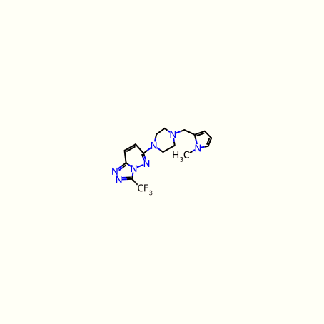 Cn1cccc1CN1CCN(c2ccc3nnc(C(F)(F)F)n3n2)CC1